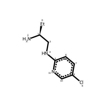 CC[C@H](N)CNc1ccc(Cl)cn1